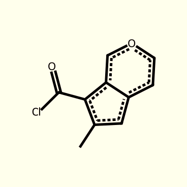 Cc1cc2ccocc-2c1C(=O)Cl